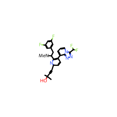 CNC(Cc1cc(F)cc(F)c1)c1nc(C#CC(C)(C)O)ccc1-c1cccn2c(C(F)F)nnc12